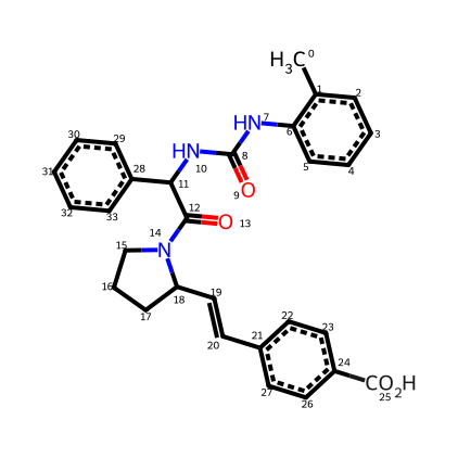 Cc1ccccc1NC(=O)NC(C(=O)N1CCCC1/C=C/c1ccc(C(=O)O)cc1)c1ccccc1